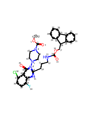 CC(C)(C)OC(=O)N1CCN(n2c(CCCNC(=O)OCC3c4ccccc4-c4ccccc43)nc3c(F)ccc(Cl)c3c2=O)CC1